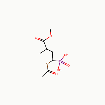 COC(=O)C(C)CC(SC(C)=O)P(=O)(O)O